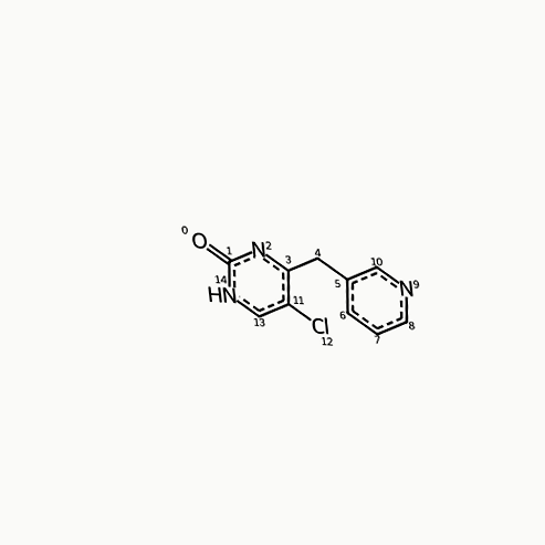 O=c1nc(Cc2cccnc2)c(Cl)c[nH]1